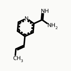 CC=Cc1ccnc(C(=N)N)c1